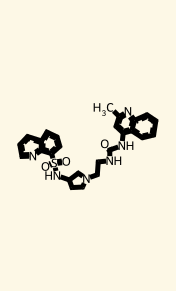 Cc1cc(NC(=O)NCCN2CCC(NS(=O)(=O)c3cccc4cccnc34)C2)c2ccccc2n1